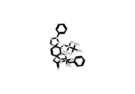 CC(C)(C)[Si](C)(C)O[C@H]1[C@@H](O[Si](C)(C)C)[C@]2(C=C[C@@]13COB(c1ccccc1)O3)CC(=O)N2OCc1ccccc1